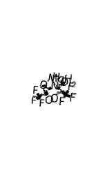 O=S(=O)(NS(=O)(=O)C(F)(F)F)C(F)(F)F.[MgH2]